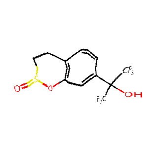 O=S1CCc2ccc(C(O)(C(F)(F)F)C(F)(F)F)cc2O1